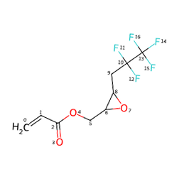 C=CC(=O)OCC1OC1CC(F)(F)C(F)(F)F